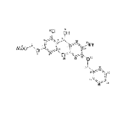 COCOc1cc(Cl)c(C(O)c2ccc(OCc3ccccc3)c(C(C)C)c2)c(Cl)c1